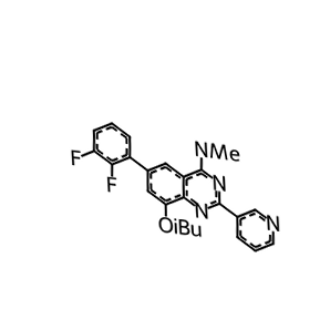 CNc1nc(-c2cccnc2)nc2c(OCC(C)C)cc(-c3cccc(F)c3F)cc12